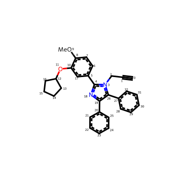 C#CCn1c(-c2ccc(OC)c(OC3CCCC3)c2)nc(-c2ccccc2)c1-c1ccccc1